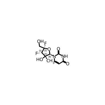 C[C@]1(O)[C@H](n2ccc(=O)[nH]c2=O)O[C@](F)(CO)[C@H]1F